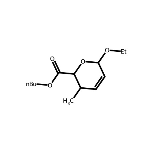 CCCCOC(=O)C1OC(OCC)C=CC1C